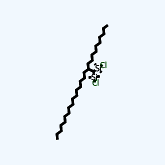 CCCCCCCCCCCCCCCCC(CCCCCCCCCC)C([Si](C)(C)Cl)[Si](C)(C)Cl